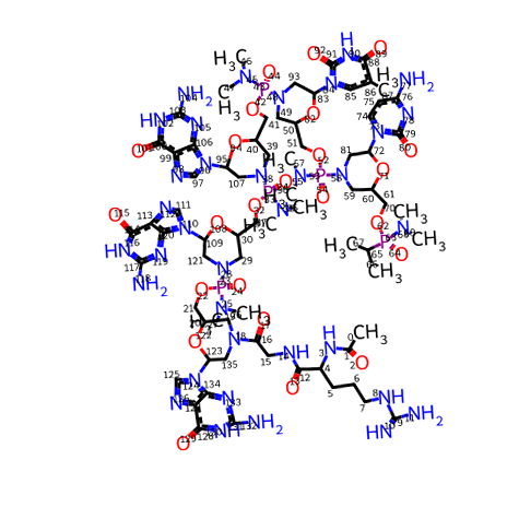 CC(=O)NC(CCCNC(=N)N)C(=O)NCC(=O)N1CC(COP(=O)(N(C)C)N2CC(COP(=O)(N(C)C)N3CC(COP(=O)(N(C)C)N4CC(COP(=O)(N(C)C)N5CC(COP(=O)(C(C)C)N(C)C)OC(n6ccc(N)nc6=O)C5)OC(n5cc(C)c(=O)[nH]c5=O)C4)OC(n4cnc5c(=O)[nH]c(N)nc54)C3)OC(n3cnc4c(=O)[nH]c(N)nc43)C2)OC(n2cnc3c(=O)[nH]c(N)nc32)C1